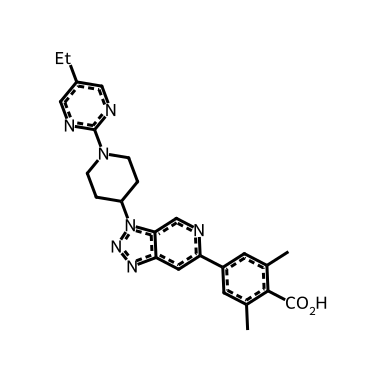 CCc1cnc(N2CCC(n3nnc4cc(-c5cc(C)c(C(=O)O)c(C)c5)ncc43)CC2)nc1